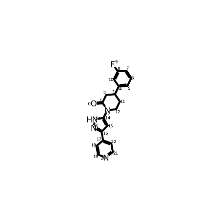 O=C1CC(c2cccc(F)c2)CCN1c1cc(-c2ccncc2)n[nH]1